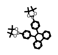 CC1(C)OB(c2ccc(C3c4ccccc4-c4ccccc4C3c3ccc(B4OC(C)(C)C(C)(C)O4)cc3)cc2)OC1(C)C